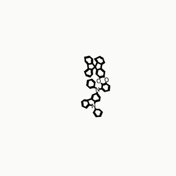 C1=CCC(n2c3ccccc3c3cc(N(c4ccccc4)c4cccc5c4Oc4cc6c(cc4O5)-c4ccccc4C64c5ccccc5-c5ccccc54)ccc32)C=C1